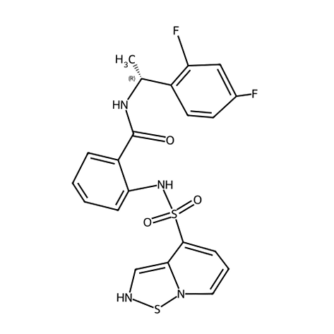 C[C@@H](NC(=O)c1ccccc1NS(=O)(=O)C1=CC=CN2SNC=C12)c1ccc(F)cc1F